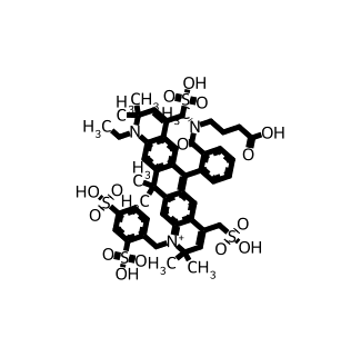 CCN1c2cc3c(cc2C(CS(=O)(=O)O)=CC1(C)C)C(c1ccccc1C(=O)N(C)CCCC(=O)O)=c1cc2c(cc1C3(C)C)=[N+](Cc1ccc(S(=O)(=O)O)cc1S(=O)(=O)O)C(C)(C)C=C2CS(=O)(=O)O